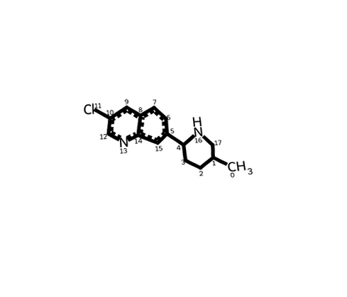 CC1CCC(c2ccc3cc(Cl)cnc3c2)NC1